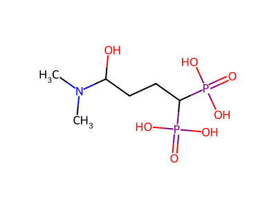 CN(C)C(O)CCC(P(=O)(O)O)P(=O)(O)O